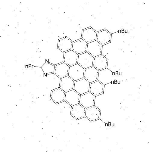 CCCCc1cc2ccc3c4cccc5c6c7c(c8c9cccc%10c%11ccc%12cc(CCCC)cc%13c%14cc(CCCC)c%15c%16c(CCCC)cc%17c(c1)c2c3c1c%17c%16c2c3c%15c%14c(c%11c%12%13)c(c%109)c3c8c6c2c1c45)=NC(CCC)N=7